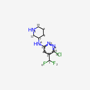 FC(F)c1cc(NC2CCCNC2)nnc1Cl